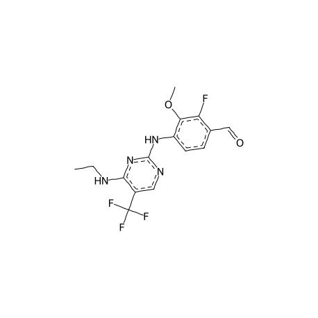 CCNc1nc(Nc2ccc(C=O)c(F)c2OC)ncc1C(F)(F)F